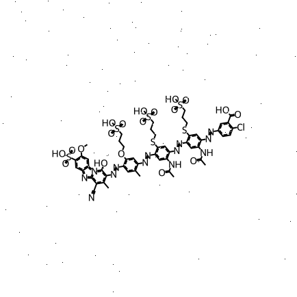 COc1cc2c(cc1S(=O)(=O)O)nc1c(C#N)c(C)c(N=Nc3cc(C)c(N=Nc4cc(NC(C)=O)c(N=Nc5cc(NC(C)=O)c(N=Nc6ccc(Cl)c(C(=O)O)c6)cc5SCCCS(=O)(=O)O)cc4SCCCS(=O)(=O)O)cc3OCCCS(=O)(=O)O)c(O)n12